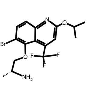 CC(C)Oc1cc(C(F)(F)F)c2c(OC[C@@H](C)N)c(Br)ccc2n1